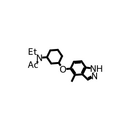 CCN(C(C)=O)C1CCCC(Oc2ccc3[nH]ncc3c2C)C1